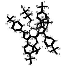 CC(F)(F)CC/C(=C1/N=C(c2ccc(C(C)(C)C)cc2)C=C1c1ccc(C(C)(C)C)cc1)c1c(-c2ccc(C(C)(C)C)cc2)cc(-c2ccc(C(C)(C)C)cc2)n1B(OCC(F)(F)C(F)(F)F)OCC(F)(F)C(F)(F)F